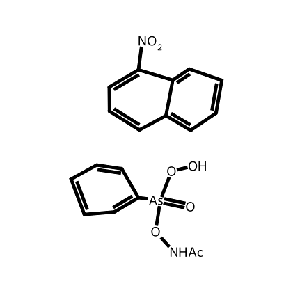 CC(=O)NO[As](=O)(OO)c1ccccc1.O=[N+]([O-])c1cccc2ccccc12